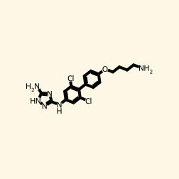 NCCCCOc1ccc(-c2c(Cl)cc(Nc3n[nH]c(N)n3)cc2Cl)cc1